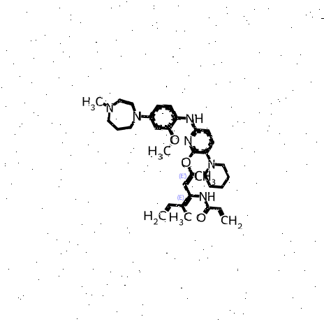 C=CC(=O)NC(/C=C(\C)Oc1nc(Nc2ccc(N3CCCN(C)CC3)cc2OC)ccc1N1CCCCC1)=C(\C)C=C